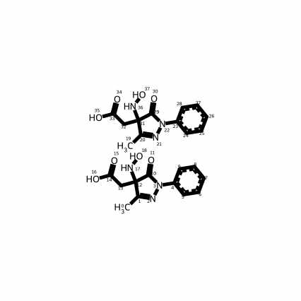 CC1=NN(c2ccccc2)C(=O)C1(CC(=O)O)NO.CC1=NN(c2ccccc2)C(=O)C1(CC(=O)O)NO